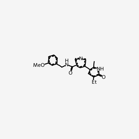 CCc1cc(-c2cncc(C(=O)NCc3cccc(OC)c3)c2)c(C)[nH]c1=O